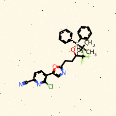 CC(C)(C)[Si](OC(CCc1ncc(-c2ccc(C#N)nc2Cl)o1)C(F)(F)F)(c1ccccc1)c1ccccc1